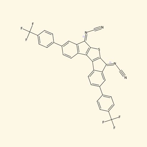 N#C/N=c1/c2cc(-c3ccc(C(F)(F)F)cc3)ccc2c2c1sc1/c(=N/C#N)c3cc(-c4ccc(C(F)(F)F)cc4)ccc3c12